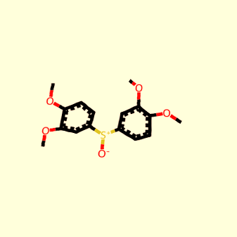 COc1ccc([S+]([O-])c2ccc(OC)c(OC)c2)cc1OC